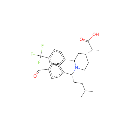 CC(C)CC[C@H](c1ccc(C=O)cc1)N1CC[C@@H](C(C)C(=O)O)C[C@H]1c1ccc(C(F)(F)F)cc1